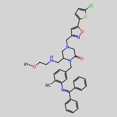 CC(C)OCCNCC1CN(Cc2cc(-c3ccc(Cl)s3)on2)CC(=O)N1Cc1ccc(C#N)c(N=C(c2ccccc2)c2ccccc2)c1